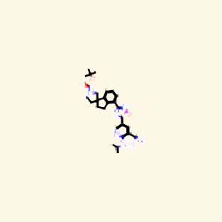 CC(C)Nc1ncc(-c2nc(-c3cccc4c3CCC43CCN(C(=O)OC(C)(C)C)C3)no2)cc1C#N